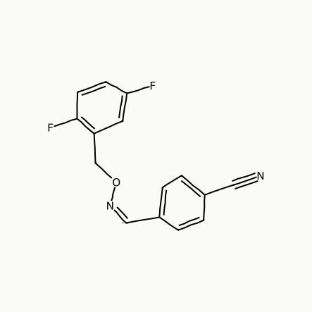 N#Cc1ccc(/[C]=N\OCc2cc(F)ccc2F)cc1